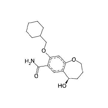 NC(=O)c1cc2c(cc1OCC1CCCCC1)OCCC[C@H]2O